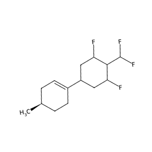 C[C@H]1CC=C(C2CC(F)C(C(F)F)C(F)C2)CC1